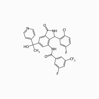 CC(O)(c1ccncc1)c1cc(NC(=O)c2cc(F)cc(C(F)(F)F)c2)c2c(c1)C(=O)NC2c1cc(F)ccc1Cl